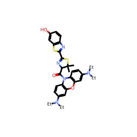 CCN(CC)c1ccc2c(c1)Oc1cc(N(CC)CC)ccc1N2C(=O)C1N=C(c2nc3ccc(O)cc3s2)SC1(C)C